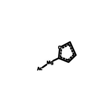 C[C](=O)[Mg][c]1ccco1